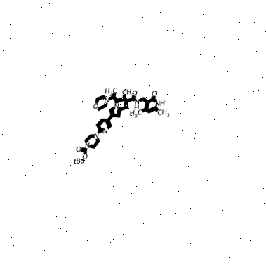 Cc1cc(C)c(CNC(=O)c2cc3cc(-c4ccc(N5CCN(C(=O)OC(C)(C)C)CC5)nc4)cn3c(C(C)N3CCOCC3)c2C)c(=O)[nH]1